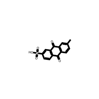 Cc1ccc2c(c1)C(=O)c1cc(S(=O)(=O)O)ccc1C2=O